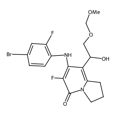 COCOCC(O)c1c(Nc2ccc(Br)cc2F)c(F)c(=O)n2c1CCC2